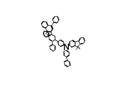 CC1(C)c2ccccc2-c2ccc(N(c3ccc(-c4ccccc4)cc3)c3ccc(C4Cc5c(oc6c5cc(-c5ccccc5)c5ccccc56)C=C4c4ccccc4)cc3)cc21